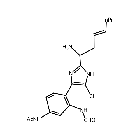 CCC/C=C/CC(N)c1nc(-c2ccc(NC(C)=O)cc2NC=O)c(Cl)[nH]1